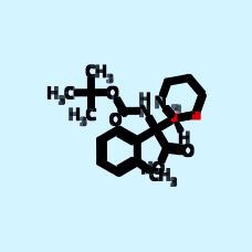 Cc1ccccc1C(NC(=O)OC(C)(C)C)(C(=O)O)[C@H]1CC2CCN1CC2